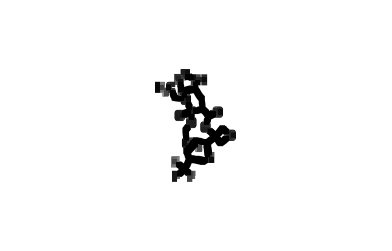 CCOP(=O)(OCC)C(Cc1nnn[nH]1)C(=O)OC1(c2ccc(C(F)(F)F)cn2)COC1